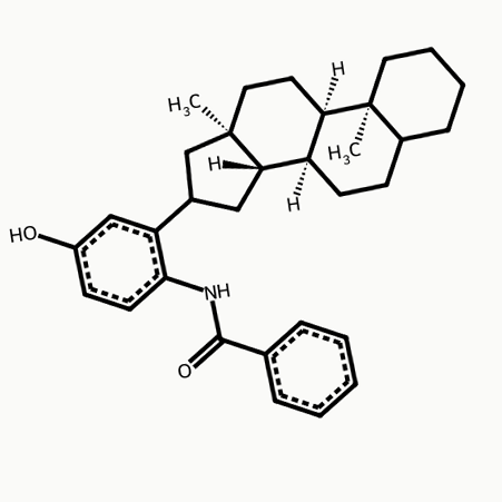 C[C@]12CC[C@@H]3[C@@H](CCC4CCCC[C@@]43C)[C@@H]1CC(c1cc(O)ccc1NC(=O)c1ccccc1)C2